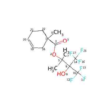 CC1(C(=O)OC(C)(C)C(O)(C(F)(F)F)C(F)(F)F)CC=CCC1